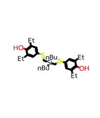 CCCC[Si](CCCC)(CSc1cc(CC)c(O)c(CC)c1)CSc1cc(CC)c(O)c(CC)c1